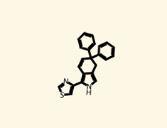 C1=CC(c2ccccc2)(c2ccccc2)Cc2c[nH]c(-c3cscn3)c21